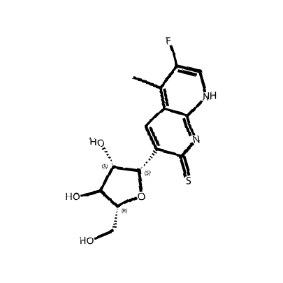 Cc1c(F)c[nH]c2nc(=S)c([C@@H]3O[C@H](CO)C(O)[C@@H]3O)cc1-2